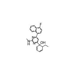 CCC1C=CC=CC1(O)c1cc(-c2ccc(F)c3ccccc23)nc(NC)n1